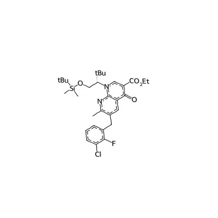 CCOC(=O)c1cn([C@H](CO[Si](C)(C)C(C)(C)C)C(C)(C)C)c2nc(C)c(Cc3cccc(Cl)c3F)cc2c1=O